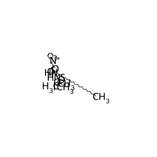 CCCCCCCCCCCCCCCCSCC(CNS(=O)(=O)CCC[n+]1cccc2ccccc21)NC(=O)OC(C)(C)C.[I-]